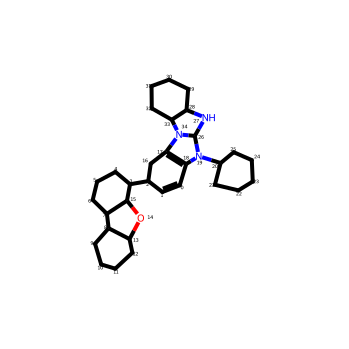 C1=CC(C2CCCC3C4CCCCC4OC23)CC2=C1N(C1CCCCC1)C1NC3CCCCC3N21